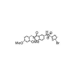 COc1ccc(Cn2ccc3ccc(NS(=O)(=O)c4ccc(Br)s4)cc3c2=O)c(OC)c1